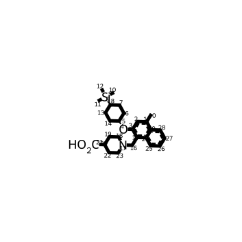 Cc1cc(O[C@H]2CC[C@H]([Si](C)(C)C)CC2)c(CN2CCC(C(=O)O)CC2)c2ccccc12